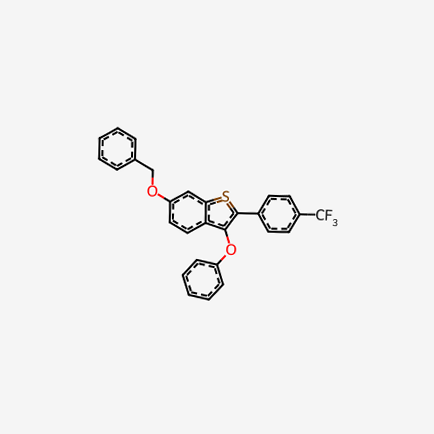 FC(F)(F)c1ccc(-c2sc3cc(OCc4ccccc4)ccc3c2Oc2ccccc2)cc1